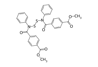 COC(=O)c1ccc(C(=O)N(SSN(C(=O)c2ccc(C(=O)OC)cc2)c2ccccc2)c2ccccc2)cc1